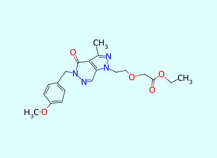 CCOC(=O)COCCn1nc(C)c2c(=O)n(Cc3ccc(OC)cc3)ncc21